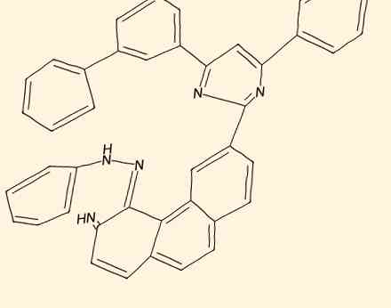 N=C1C=Cc2ccc3ccc(-c4nc(-c5ccccc5)cc(-c5cccc(-c6ccccc6)c5)n4)cc3c2/C1=N/Nc1ccccc1